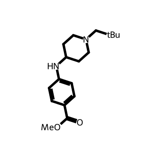 COC(=O)c1ccc(NC2CCN(CC(C)(C)C)CC2)cc1